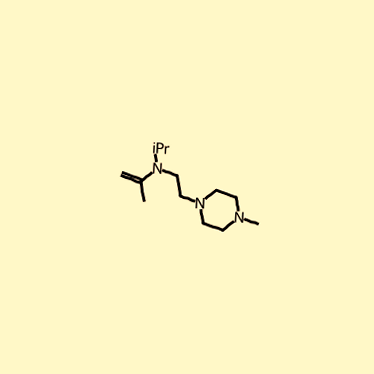 C=C(C)N(CCN1CCN(C)CC1)C(C)C